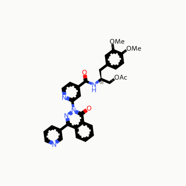 COc1ccc(C[C@@H](COC(C)=O)NC(=O)c2ccnc(-n3nc(-c4cccnc4)c4ccccc4c3=O)c2)cc1OC